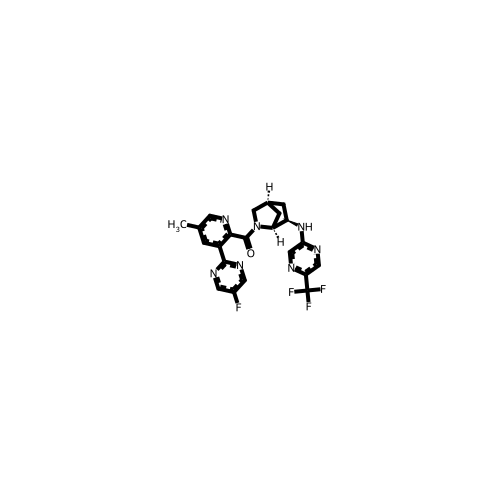 Cc1cnc(C(=O)N2C[C@H]3C[C@@H](Nc4cnc(C(F)(F)F)cn4)[C@@H]2C3)c(-c2ncc(F)cn2)c1